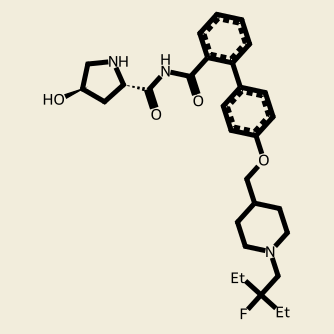 CCC(F)(CC)CN1CCC(COc2ccc(-c3ccccc3C(=O)NC(=O)[C@@H]3C[C@@H](O)CN3)cc2)CC1